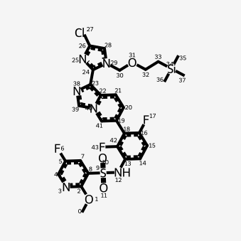 COc1ncc(F)cc1S(=O)(=O)Nc1ccc(F)c(-c2ccc3c(-c4nc(Cl)cn4COCC[Si](C)(C)C)ncn3c2)c1F